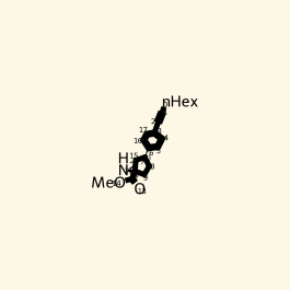 CCCCCCC#Cc1ccc([C@@H]2CC[C@](N)(C(=O)OC)C2)cc1